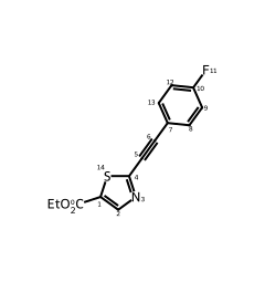 CCOC(=O)c1cnc(C#Cc2ccc(F)cc2)s1